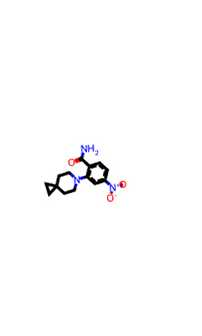 NC(=O)c1ccc([N+](=O)[O-])cc1N1CCC2(CC1)CC2